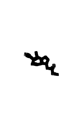 COC(=O)CC1CCc2c1ccc(C#N)c2C